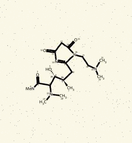 CNC(=O)C([C@H](O)[C@H](C)CC1=NC(=O)CC(=O)N1CCN(C)C)N(C)C